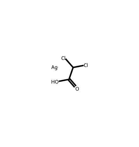 O=C(O)C(Cl)Cl.[Ag]